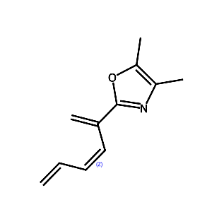 C=C/C=C\C(=C)c1nc(C)c(C)o1